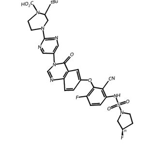 CC(C)(C)C1CN(c2ncc(-n3cnc4ccc(Oc5c(F)ccc(NS(=O)(=O)N6CC[C@@H](F)C6)c5C#N)cc4c3=O)cn2)CCN1C(=O)O